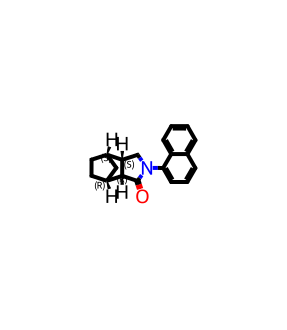 O=C1[C@@H]2[C@@H]3CC[C@@H](C3)[C@@H]2CN1c1cccc2ccccc12